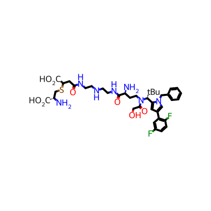 CC(C)(C)[C@H](c1cc(-c2cc(F)ccc2F)cn1Cc1ccccc1)N(CC[C@H](N)C(=O)NCCNCCNC(=O)CC(SC[C@H](N)C(=O)O)C(=O)O)C(=O)CO